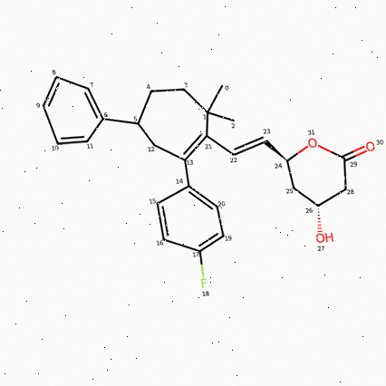 CC1(C)CCC(c2ccccc2)CC(c2ccc(F)cc2)=C1/C=C/[C@@H]1C[C@@H](O)CC(=O)O1